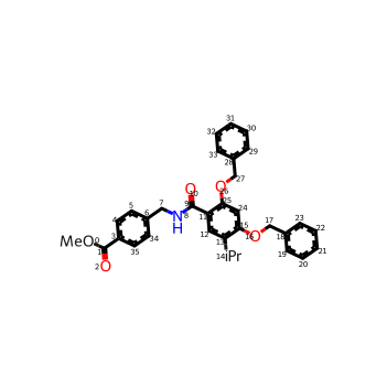 COC(=O)c1ccc(CNC(=O)c2cc(C(C)C)c(OCc3ccccc3)cc2OCc2ccccc2)cc1